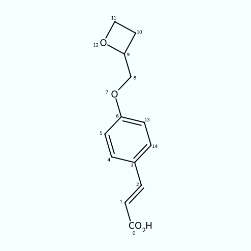 O=C(O)C=Cc1ccc(OCC2CCO2)cc1